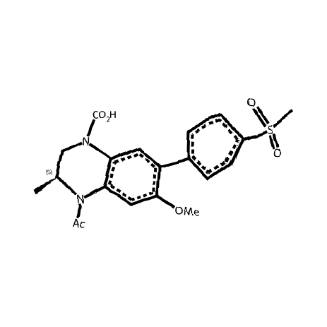 COc1cc2c(cc1-c1ccc(S(C)(=O)=O)cc1)N(C(=O)O)C[C@H](C)N2C(C)=O